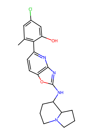 Cc1cc(Cl)cc(O)c1-c1ccc2oc(NC3CCCN4CCCC34)nc2n1